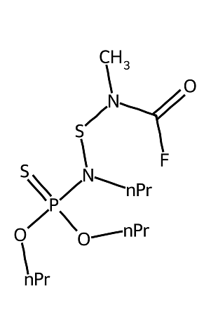 CCCOP(=S)(OCCC)N(CCC)SN(C)C(=O)F